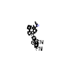 C=C/C=C\c1c(C)n2c3ccccc3c3cccc4c3c3c(ccc1c32)n4-c1ccc(S(=O)(=O)c2ccc(C#N)cc2C#N)cc1